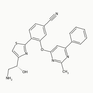 Cc1nc(Oc2cc(C#N)ccc2-c2nc([C@H](O)CN)cs2)cc(-c2ccccc2)n1